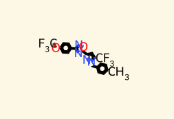 Cc1ccc(Cn2nc(-c3nc(-c4ccc(OC(F)(F)F)cc4)no3)cc2C(F)(F)F)cc1